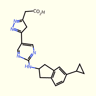 O=C(O)CC1=NN=C(c2cnc(NC3Cc4ccc(C5CC5)cc4C3)nc2)C1